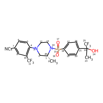 C[C@@H]1CN(c2ccc(C#N)cc2C(F)(F)F)CCN1S(=O)(=O)c1ccc(C(C)(O)C(F)(F)F)cc1